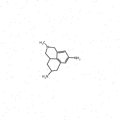 CN1Cc2cc(N)cc3c2C(CC(N)C3)C1